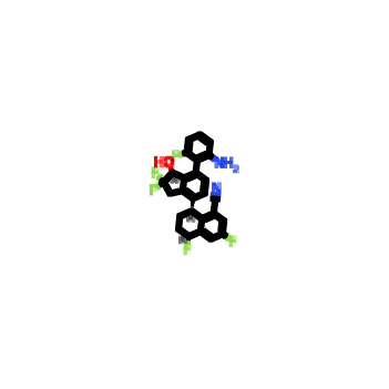 N#Cc1cc(F)cc2c1[C@@H](c1ccc(-c3c(N)cccc3F)c3c1CC(F)(F)[C@H]3O)CC[C@@H]2F